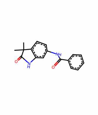 CC1(C)C(=O)Nc2cc(NC(=O)c3ccccc3)ccc21